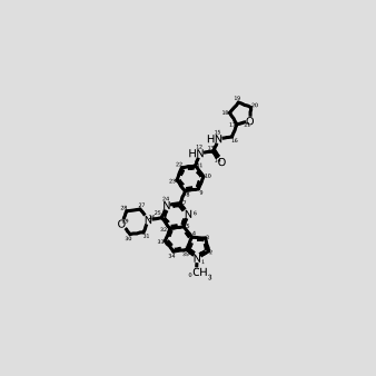 Cn1ccc2c3nc(-c4ccc(NC(=O)NCC5CCCO5)cc4)nc(N4CCOCC4)c3ccc21